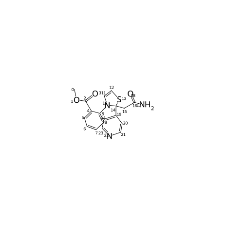 COC(=O)c1ccccc1N1C=CSC1(CC(N)=O)c1ccncc1